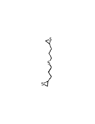 C(CSCCCC1CS1)CC1CS1